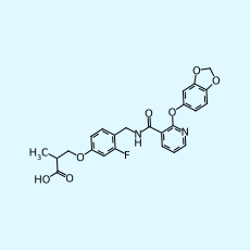 CC(COc1ccc(CNC(=O)c2cccnc2Oc2ccc3c(c2)OCO3)c(F)c1)C(=O)O